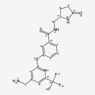 NCc1cc(Oc2cccc(C(=O)NCC3CCC(=O)N3)c2)nc(C(F)(F)F)c1